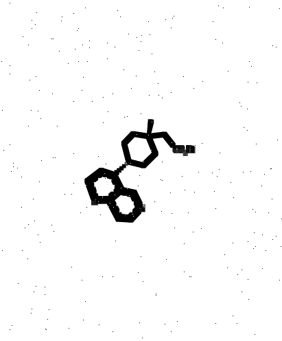 CCOC(=O)C[C@]1(C)CC[C@H](c2ccnc3ccncc32)CC1